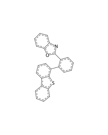 c1ccc(-c2cccc3c2sc2ccccc23)c(-c2nc3ccccc3o2)c1